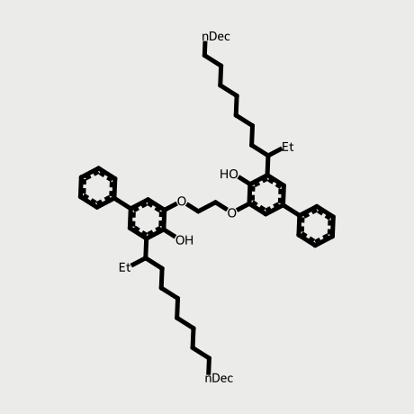 CCCCCCCCCCCCCCCCCC(CC)c1cc(-c2ccccc2)cc(OCCOc2cc(-c3ccccc3)cc(C(CC)CCCCCCCCCCCCCCCCC)c2O)c1O